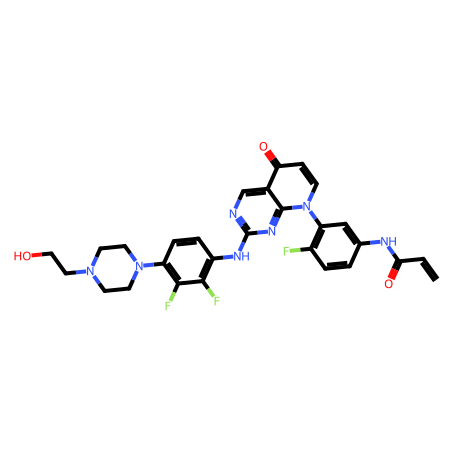 C=CC(=O)Nc1ccc(F)c(-n2ccc(=O)c3cnc(Nc4ccc(N5CCN(CCO)CC5)c(F)c4F)nc32)c1